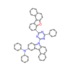 c1ccc(-c2nc(-c3cccc4c3oc3ccc5ccccc5c34)nc(-n3c4ccc(N(c5ccccc5)c5ccccc5)cc4c4c5ccccc5ccc43)n2)cc1